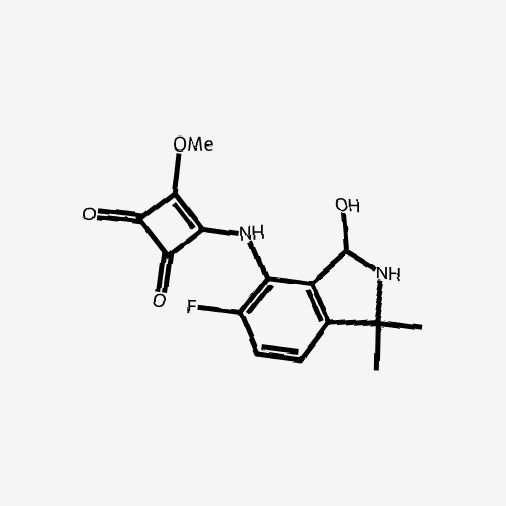 COc1c(Nc2c(F)ccc3c2C(O)NC3(C)C)c(=O)c1=O